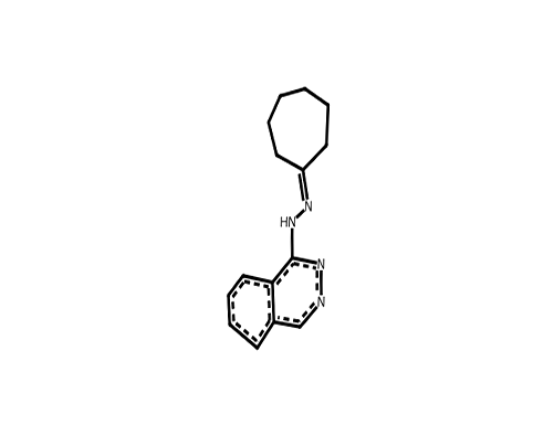 c1ccc2c(NN=C3CCCCCC3)nncc2c1